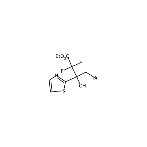 CCOC(=O)C(F)(F)C(O)(CBr)c1nccs1